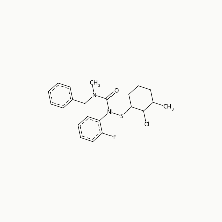 CC1CCCC(SN(C(=O)N(C)Cc2ccccc2)c2ccccc2F)C1Cl